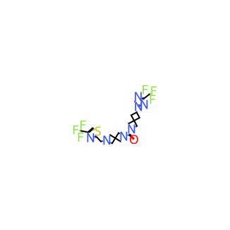 O=C(N1CC2(CC(n3cnc(C(F)(F)F)n3)C2)C1)N1CC2(CN(Cc3nc(C(F)(F)F)cs3)C2)C1